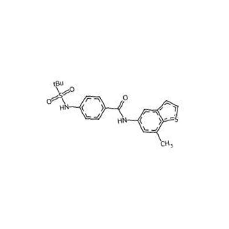 Cc1cc(NC(=O)c2ccc(NS(=O)(=O)C(C)(C)C)cc2)cc2ccsc12